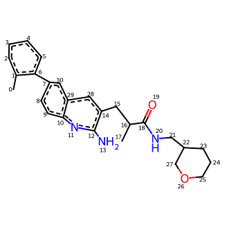 Cc1ccccc1-c1ccc2nc(N)c(CC(C)C(=O)NCC3CCCOC3)cc2c1